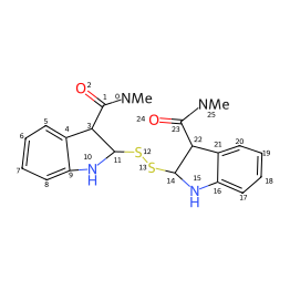 CNC(=O)C1c2ccccc2NC1SSC1Nc2ccccc2C1C(=O)NC